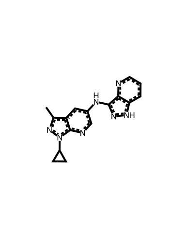 Cc1nn(C2CC2)c2ncc(Nc3n[nH]c4cccnc34)cc12